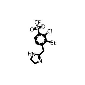 CCc1c(CC2=NCCN2)ccc(S(=O)(=O)C(F)(F)F)c1Cl